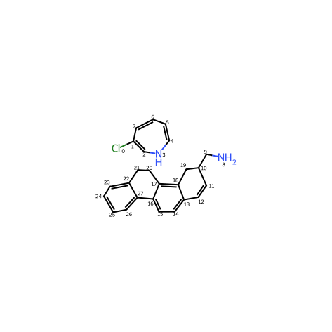 ClC1=CNC=CC=C1.NCC1C=Cc2ccc3c(c2C1)CCc1ccccc1-3